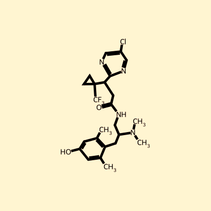 Cc1cc(O)cc(C)c1CC(CNC(=O)CC(c1ncc(Cl)cn1)C1(C(F)(F)F)CC1)N(C)C